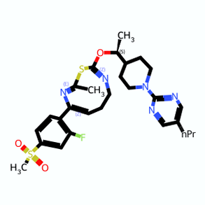 CCCc1cnc(N2CCC([C@H](C)O/C3=N/CC/C=C(c4ccc(S(C)(=O)=O)cc4F)\N=C(/C)S3)CC2)nc1